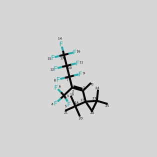 C/C(=C(/C(F)(F)F)C(F)(F)C(F)(F)C(F)(F)F)C1(C(C)(C)C)CC1(C)C